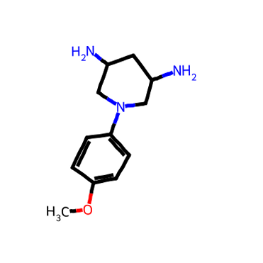 COc1ccc(N2CC(N)CC(N)C2)cc1